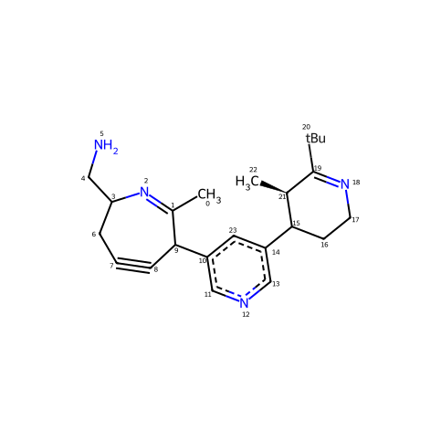 CC1=NC(CN)CC#CC1c1cncc(C2CCN=C(C(C)(C)C)[C@@H]2C)c1